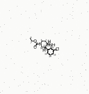 CCOC(=O)N1CC[C@@H]2Nc3c(Cl)cccc3[C@@H]2C1